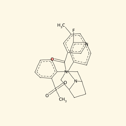 Cc1cncc(C(=O)N2CC3CCC(C2)N3C(c2cccc(F)c2)c2ccccc2S(C)(=O)=O)c1